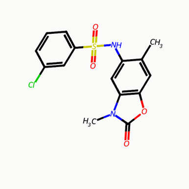 Cc1cc2oc(=O)n(C)c2cc1NS(=O)(=O)c1cccc(Cl)c1